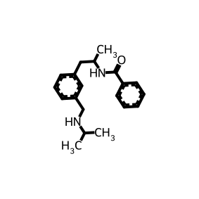 CC(C)NCc1cccc(CC(C)NC(=O)c2ccccc2)c1